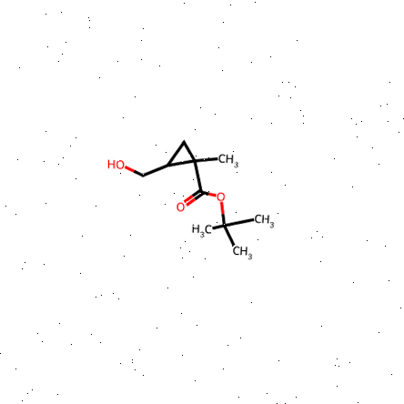 CC(C)(C)OC(=O)C1(C)CC1CO